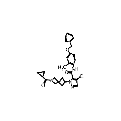 Cc1cc(OCc2ccccc2)ccc1NC(=O)c1c(Cl)cnn1C1CC2(C1)CN(C(=O)C1CC1)C2